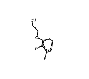 OCCOc1cccc(F)c1F